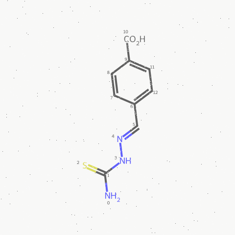 NC(=S)NN=Cc1ccc(C(=O)O)cc1